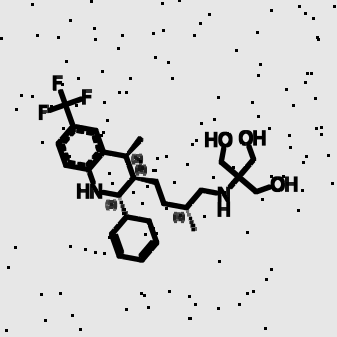 C[C@H](CC[C@@H]1[C@H](C)c2cc(C(F)(F)F)ccc2N[C@H]1C1C=CC=CC1)CNC(CO)(CO)CO